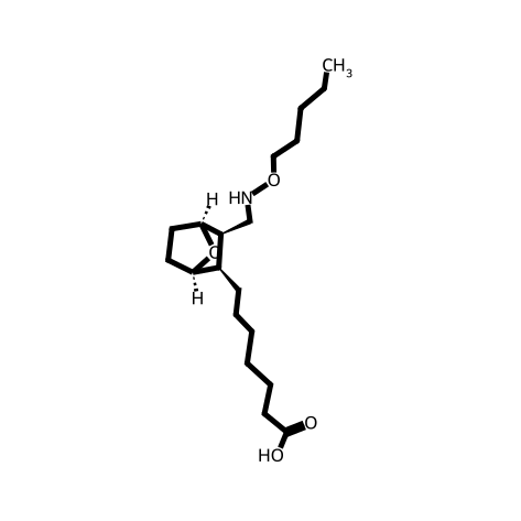 CCCCCONC[C@H]1[C@@H](CCCCCCC(=O)O)[C@H]2CC[C@@H]1O2